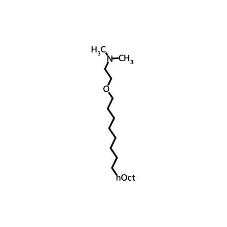 CCCCCCCCCCCCCCCCOCCN(C)C